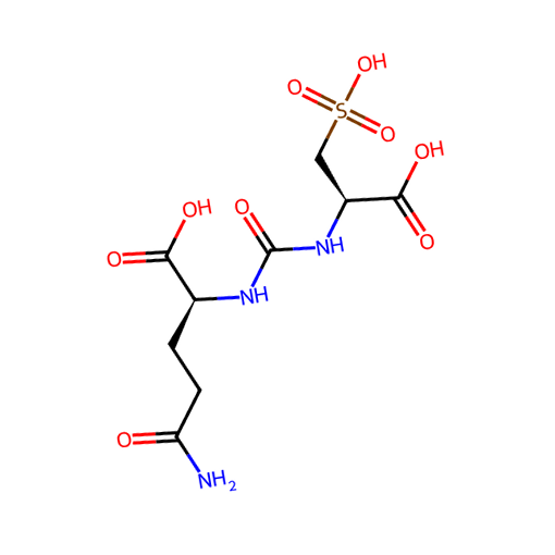 NC(=O)CC[C@H](NC(=O)N[C@@H](CS(=O)(=O)O)C(=O)O)C(=O)O